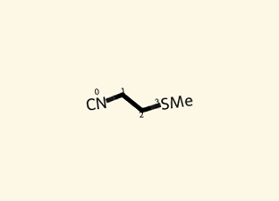 [C-]#[N+]CCSC